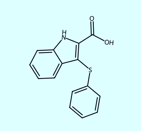 O=C(O)c1[nH]c2ccccc2c1Sc1ccccc1